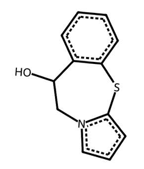 OC1Cn2cccc2Sc2ccccc21